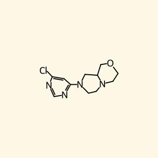 Clc1cc(N2CCN3CCOCC3C2)ncn1